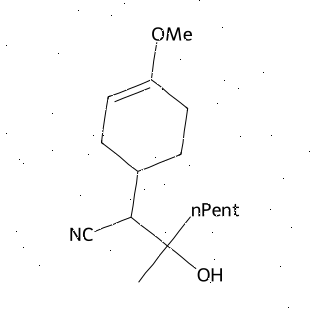 CCCCCC(C)(O)C(C#N)C1CC=C(OC)CC1